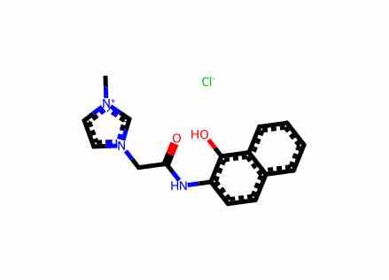 C[n+]1ccn(CC(=O)Nc2ccc3ccccc3c2O)c1.[Cl-]